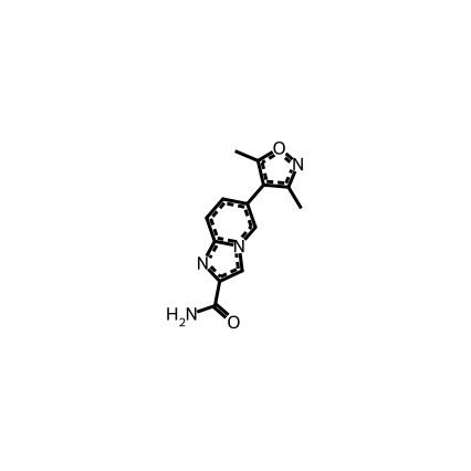 Cc1noc(C)c1-c1ccc2nc(C(N)=O)cn2c1